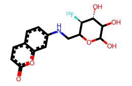 O=c1ccc2ccc(NCC3OC(O)C(O)[C@@H](O)[C@@H]3[18F])cc2o1